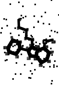 CCCCCc1c(-c2ccccc2)cc2cccc(OC)n12